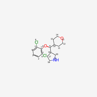 Clc1cccc(Cl)c1O[C@@H](C1CCOCC1)C1CCNC1